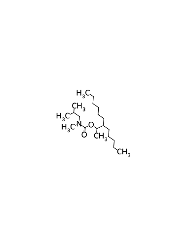 CCCCCCC(CCCCC)C(C)OC(=O)N(C)CC(C)C